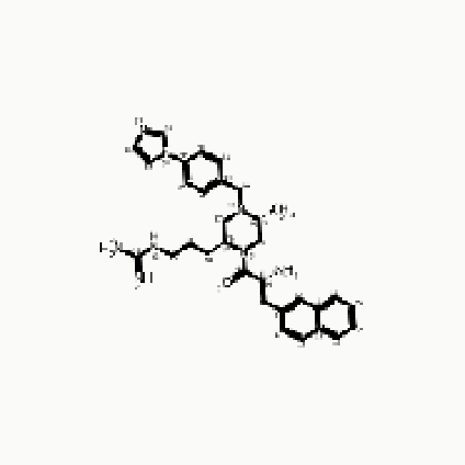 C[C@@H]1CN(C(=O)[C@H](N)Cc2ccc3ccccc3c2)[C@@H](CCCNC(=N)N)CN1Cc1ccc(-n2ccnc2)cc1